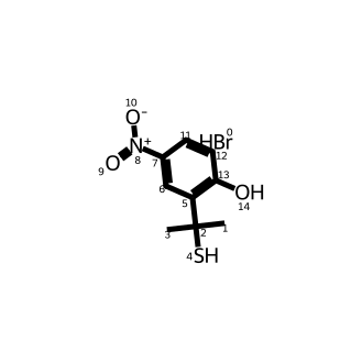 Br.CC(C)(S)c1cc([N+](=O)[O-])ccc1O